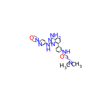 CN(C)C/C=C/C(=O)Nc1cccc(-c2cccc3c(N)nc(Nc4ccc(N5CCOCC5)nc4)nc23)c1